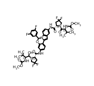 COC(=O)N[C@@H](C(C)C)C(O)N1CC(F)(F)C[C@H]1C(=O)Nc1ccc2c(c1)OC(c1cc(F)cc(F)c1)n1c-2cc2cc(NC(=O)[C@@H]3CC(F)(F)CN3C(=O)[C@@H](NC(=O)OC)C(C)C)ccc21